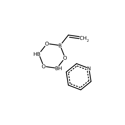 C=CB1OBOBO1.c1ccncc1